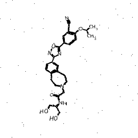 CC(C)Oc1ccc(-c2nc(-c3ccc4c(c3)CCN(CC(=O)NC(CO)CO)CC4)no2)cc1C#N